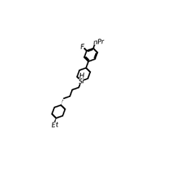 CCCc1ccc(C2CC[SiH](CCCC[C@H]3CC[C@H](CC)CC3)CC2)cc1F